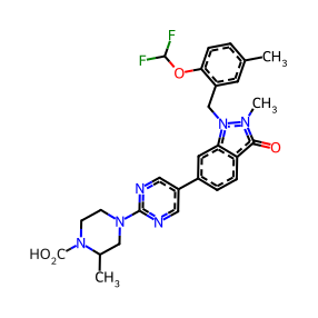 Cc1ccc(OC(F)F)c(Cn2c3cc(-c4cnc(N5CCN(C(=O)O)C(C)C5)nc4)ccc3c(=O)n2C)c1